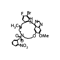 COc1cc2ncnc3c2cc1OCCCN(S(=O)(=O)c1ccccc1[N+](=O)[O-])CCN(C)Cc1cc(F)c(Br)cc1N3